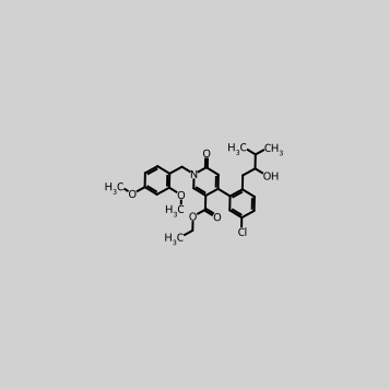 CCOC(=O)c1cn(Cc2ccc(OC)cc2OC)c(=O)cc1-c1cc(Cl)ccc1CC(O)C(C)C